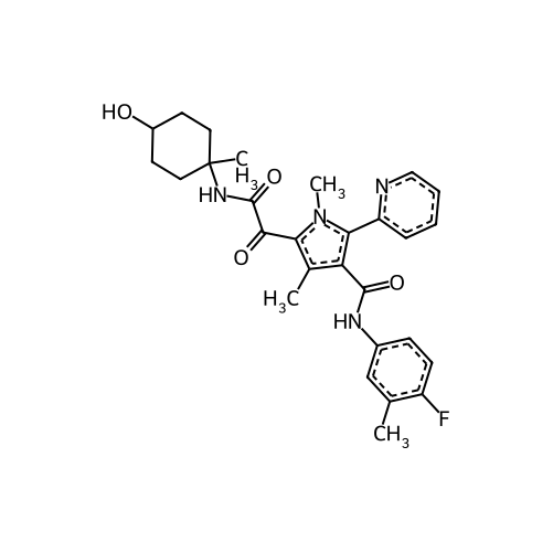 Cc1cc(NC(=O)c2c(C)c(C(=O)C(=O)NC3(C)CCC(O)CC3)n(C)c2-c2ccccn2)ccc1F